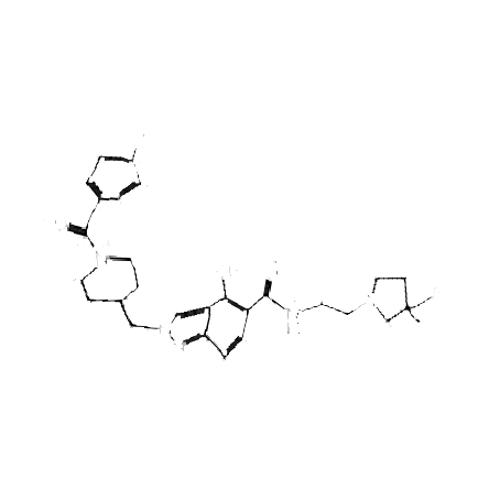 Cc1c(C(=O)NCCN2CCC(F)(F)C2)ccc2nn(CC3CCN(C(=O)c4ccc(Cl)cc4)CC3)cc12